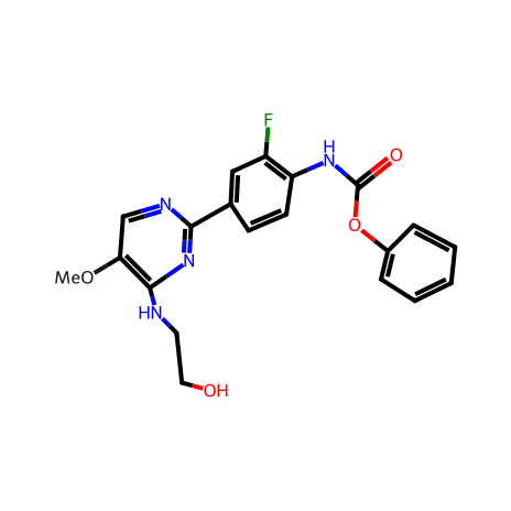 COc1cnc(-c2ccc(NC(=O)Oc3ccccc3)c(F)c2)nc1NCCO